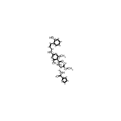 COC(=O)[C@H](CNC(=O)c1cccs1)NC(=O)c1c(C)nc(NC/C=C\c2ccccc2O)nc1C